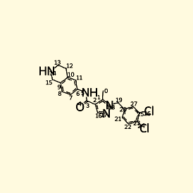 Cc1c(C(=O)Nc2ccc3c(c2)CCNC3)cnn1Cc1ccc(Cl)c(Cl)c1